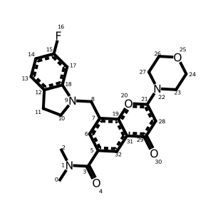 CN(C)C(=O)c1cc(CN2CCc3ccc(F)cc32)c2oc(N3CCOCC3)cc(=O)c2c1